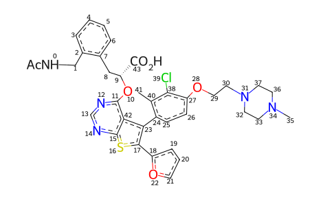 CC(=O)NCc1ccccc1C[C@@H](Oc1ncnc2sc(-c3ccco3)c(-c3ccc(OCCN4CCN(C)CC4)c(Cl)c3C)c12)C(=O)O